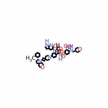 Cc1ccccc1[C@H]1CCC2(CCOCC2)N1C1CC2(CCN(c3ccc(C(=O)NS(=O)(=O)c4ccc(NCC5CCOCC5)c([N+](=O)[O-])c4)c(N4c5cc6cc[nH]c6nc5O[C@@H]5COC[C@H]54)c3)CC2)C1